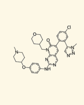 CN1CCC(Oc2ccc(Nc3ncc4cc(-c5ccc(Cl)cc5-c5cnnn5C)c(=O)n(CC5CCOCC5)c4n3)cc2)CC1